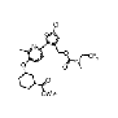 COC(=O)[C@H]1CCC[C@H](Oc2ccc(-c3sc(Cl)cc3COC(=O)N(C)CC(F)(F)F)nc2C)C1